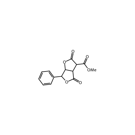 COC(=O)C1C(=O)OC2C(c3ccccc3)OC(=O)C12